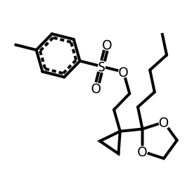 CCCCCC1(C2(CCOS(=O)(=O)c3ccc(C)cc3)CC2)OCCO1